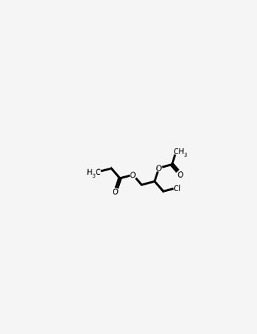 C[CH]C(=O)OCC(CCl)OC(C)=O